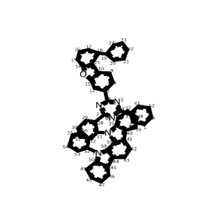 c1ccc(-c2nc(-c3ccc4c(c3)oc3cccc(-c5ccccc5)c34)nc(-c3ccccc3-n3c4ccccc4c4ccc5c6ccccc6n(-c6ccccc6)c5c43)n2)cc1